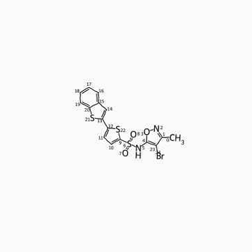 Cc1noc(NS(=O)(=O)c2ccc(-c3cc4ccccc4s3)s2)c1Br